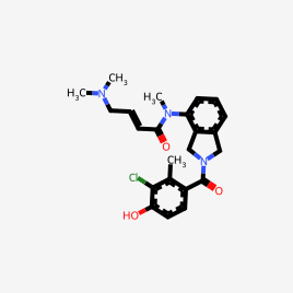 Cc1c(C(=O)N2Cc3cccc(N(C)C(=O)/C=C/CN(C)C)c3C2)ccc(O)c1Cl